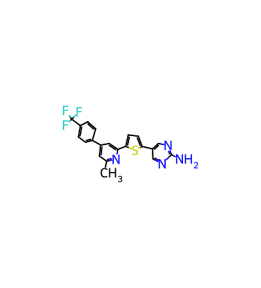 Cc1cc(-c2ccc(C(F)(F)F)cc2)cc(-c2ccc(-c3cnc(N)nc3)s2)n1